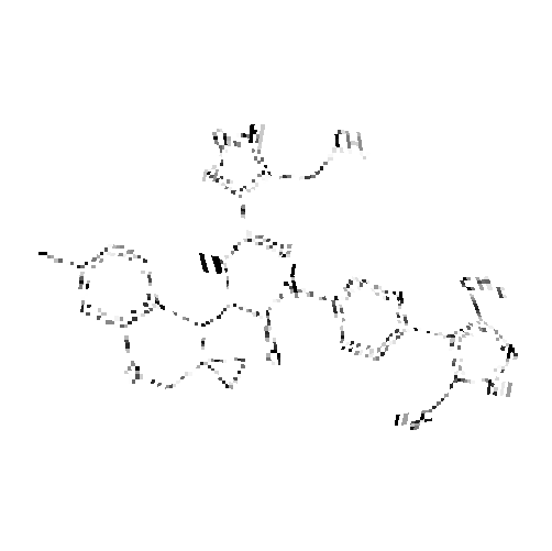 CCc1nonc1C(=O)NC(C(=O)Nc1ccc(-c2c(C)n[nH]c2C)nc1)C1c2ccc(F)cc2OCC12CC2